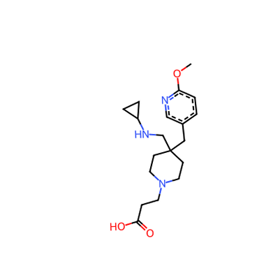 COc1ccc(CC2(CNC3CC3)CCN(CCC(=O)O)CC2)cn1